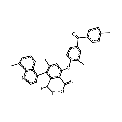 Cc1ccc(C(=O)c2ccc(Oc3cc(C)c(-c4ccnc5c(C)cccc45)c(C(F)F)c3C(=O)O)c(C)c2)cc1